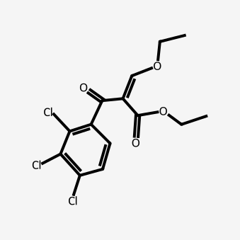 CCOC=C(C(=O)OCC)C(=O)c1ccc(Cl)c(Cl)c1Cl